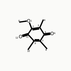 COC1=C(C)C(=O)C(C)=C(C)C1=O